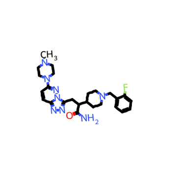 CN1CCN(c2ccc3nnc(CC(C(N)=O)C4CCN(Cc5ccccc5F)CC4)n3n2)CC1